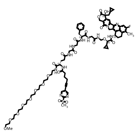 COCCOCCOCCOCCOCCOCCOCCOCCNC(=O)[C@H](CCC(=O)NCC(=O)NCC(=O)N[C@@H](Cc1ccccc1)C(=O)NCC(=O)NCO[C@@H](C(=O)N[C@H]1CCc2c(C)c(F)cc3nc4c(c1c23)Cn1c-4cc2c(c1=O)COC(=O)[C@]2(O)CC1CC1)C1CC1)NC(=O)CCCC#Cc1cnc(S(C)(=O)=O)nc1